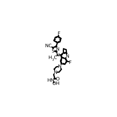 CN(c1nc(-c2ccc(F)cc2)c(C#N)s1)c1c2c(nc3c(F)cc(N4CCN(CC(=O)NO)CC4)cc13)CC2